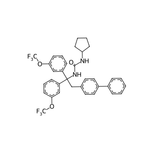 O=C(NC1CCCC1)NC(Cc1ccc(-c2ccccc2)cc1)(c1cccc(OC(F)(F)F)c1)c1cccc(OC(F)(F)F)c1